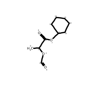 CC(O[C]=O)C(=O)OC1CCCCC1